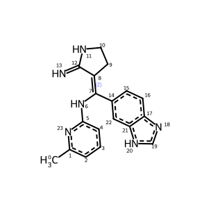 Cc1cccc(N/C(=C2/CCNC2=N)c2ccc3nc[nH]c3c2)n1